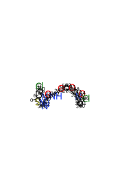 Cc1sc2c(c1C)C(c1ccc(Cl)cc1)=NC(CC(=O)NCCCCOc1ccc(Oc3ccc(N(Cc4ccccc4)C(=O)CCl)cc3)cc1)c1nnc(C)n1-2